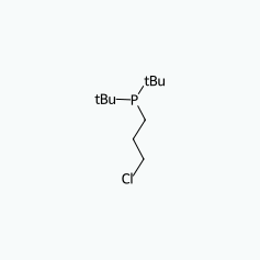 CC(C)(C)P(CCCCl)C(C)(C)C